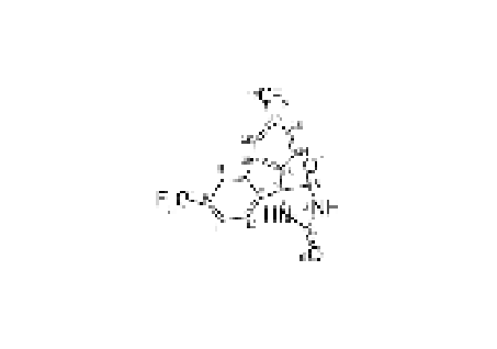 O=C1NC(=O)C(c2ccc(C(F)(F)F)cc2)(c2ccc(C(F)(F)F)cc2)N1